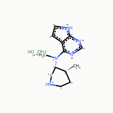 C[C@@H]1CCNC[C@@H]1N(C)c1ncnc2[nH]ccc12.Cl.Cl